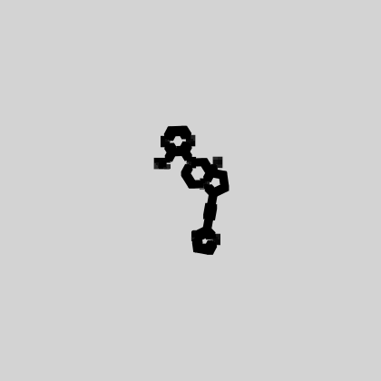 N#Cc1nccnc1N1CCN2C(C#Cc3nccs3)CC[C@H]2C1